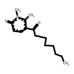 CCCCCCCC(=O)c1ccc(=O)n(C)c1C